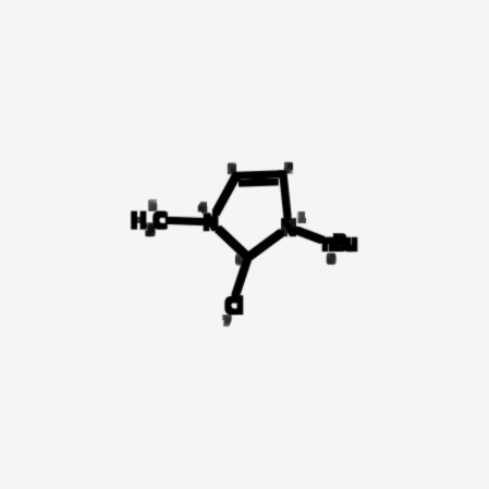 CCCCN1C=CN(C)C1Cl